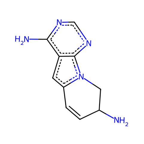 Nc1ncnc2c1cc1n2CC(N)C=C1